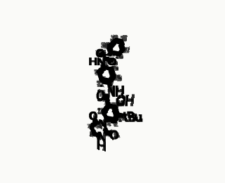 CC(C)(C)c1cc(N2C(=O)CCNC2=O)cc(C(=O)Nc2ccc(NS(=O)(=O)c3ccccc3)cc2)c1O